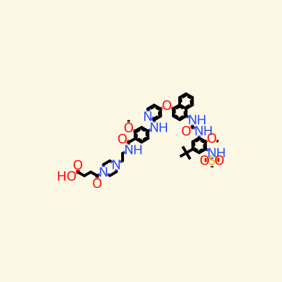 COc1cc(Nc2cc(Oc3ccc(NC(=O)Nc4cc(C(C)(C)C)cc(NS(C)(=O)=O)c4OC)c4ccccc34)ccn2)ccc1C(=O)NCCN1CCN(C(=O)CCC(=O)O)CC1